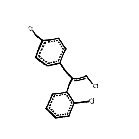 ClC=C(c1ccc(Cl)cc1)c1ccccc1Cl